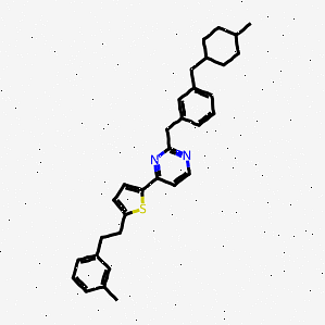 Cc1cccc(CCc2ccc(-c3ccnc(Cc4cccc(CC5CCC(C)CC5)c4)n3)s2)c1